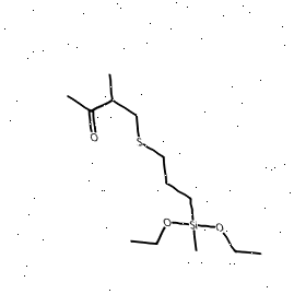 CCO[Si](C)(CCCSCC(C)C(C)=O)OCC